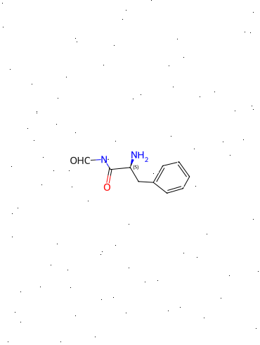 N[C@@H](Cc1ccccc1)C(=O)[N]C=O